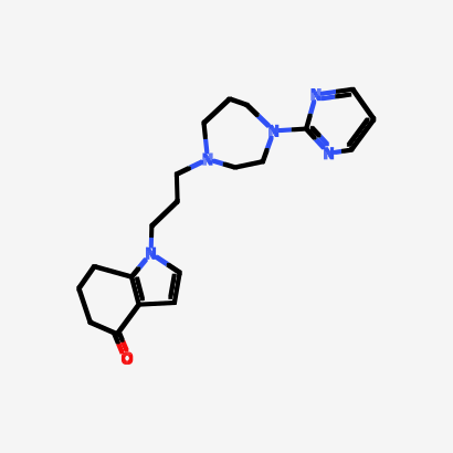 O=C1CCCc2c1ccn2CCCN1CCCN(c2ncccn2)CC1